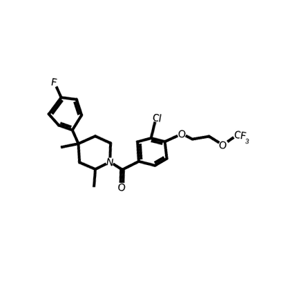 CC1CC(C)(c2ccc(F)cc2)CCN1C(=O)c1ccc(OCCOC(F)(F)F)c(Cl)c1